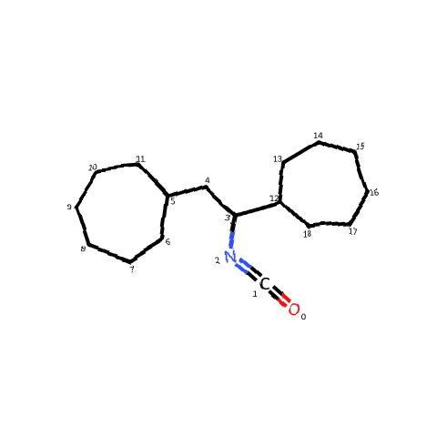 O=C=NC(CC1CCCCCC1)C1CCCCCC1